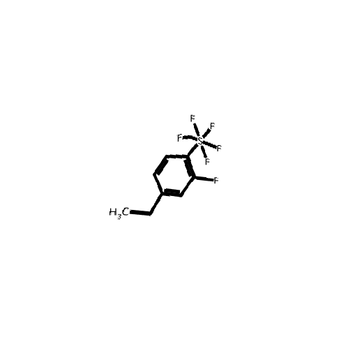 CCc1ccc(S(F)(F)(F)(F)F)c(F)c1